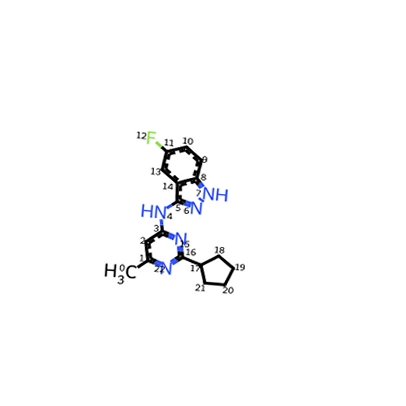 Cc1cc(Nc2n[nH]c3ccc(F)cc23)nc(C2CCCC2)n1